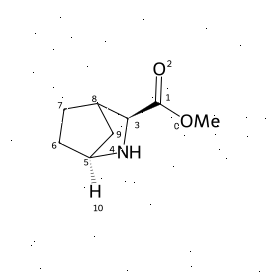 COC(=O)[C@H]1N[C@H]2CCC1C2